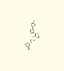 COc1cc(C)c(-c2ccc(C(=O)O)cc2)cc1C1=C(CN2C(=O)O[C@H](c3cc(C)cc(C(F)(F)F)c3)[C@@H]2C)CC(C)(C)CC1